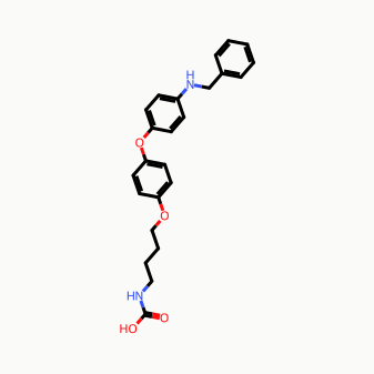 O=C(O)NCCCCOc1ccc(Oc2ccc(NCc3ccccc3)cc2)cc1